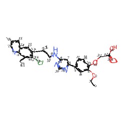 CCOc1cc(-c2cc(NCCc3cc4cccnc4c(C)c3Cl)ncn2)ccc1OCC(=O)O